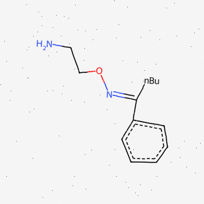 CCCCC(=NOCCN)c1ccccc1